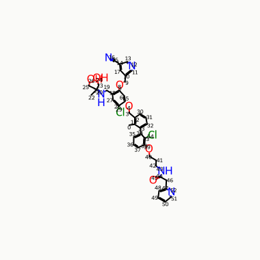 Cc1c(COc2cc(OCc3cncc(C#N)c3)c(CNC(C)(CO)CO)cc2Cl)cccc1-c1cccc(OCCCNC(=O)Cc2ccccn2)c1Cl